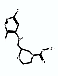 CC(C)(C)OC(=O)N1CCOC(CNc2cc(Cl)nnc2I)C1